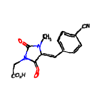 CN1C(=O)N(CC(=O)O)C(=O)C1=Cc1ccc(C#N)cc1